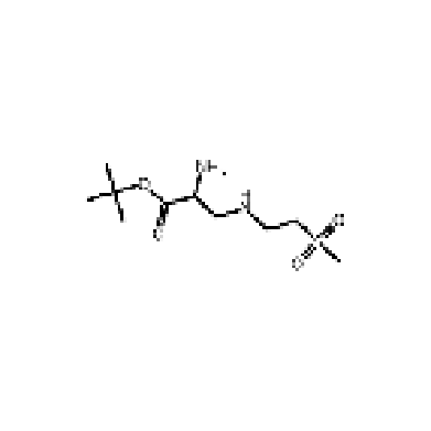 CC(C)(C)OC(=O)C(N)CNCCS(C)(=O)=O